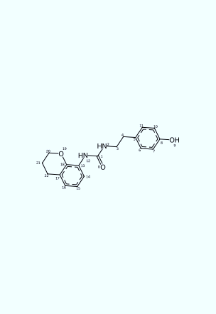 O=C(NCCc1ccc(O)cc1)Nc1cccc2c1OCCC2